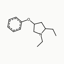 CCC1CC(Oc2ccccc2)CN1CC